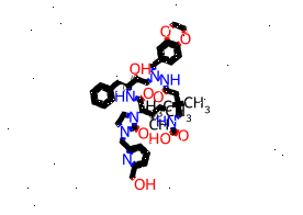 CC[C@H](C)[C@@H](C(=O)N[C@@H](Cc1ccccc1)[C@@H](O)CN(Cc1ccc2c(c1)OCCO2)NC(=O)CC(C)(C)CNC(=O)O)N1CCN(Cc2cccc(CO)n2)C1=O